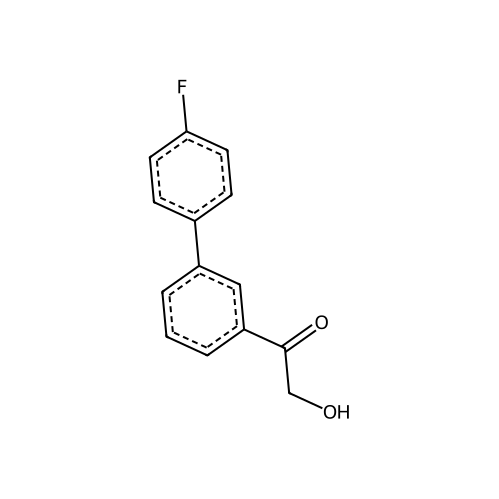 O=C(CO)c1cccc(-c2ccc(F)cc2)c1